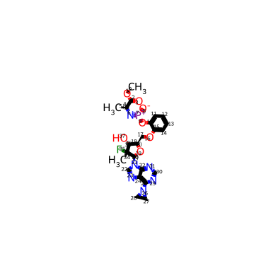 COC(=O)[C@H](C)/N=[P+](\[O-])Oc1ccccc1OC[C@H]1O[C@@H](n2cnc3c(N4CC4)ncnc32)[C@](C)(F)[C@@H]1O